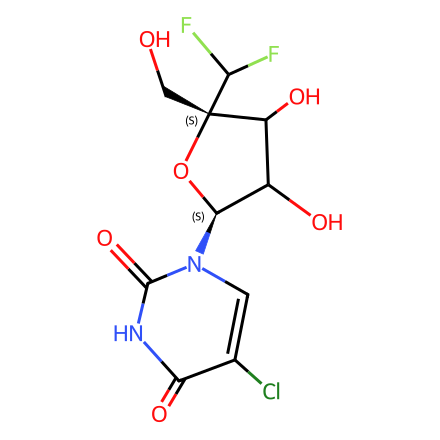 O=c1[nH]c(=O)n([C@H]2O[C@](CO)(C(F)F)C(O)C2O)cc1Cl